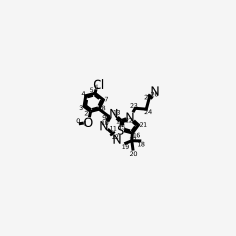 COc1ccc(Cl)cc1C(=NC#N)N=c1sc(C(C)(C)C)cn1CCC#N